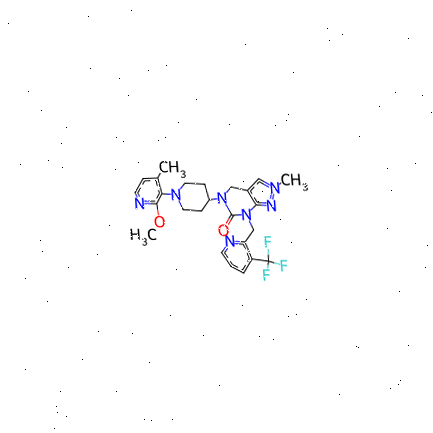 COc1nccc(C)c1N1CCC(N2Cc3cn(C)nc3N(Cc3ncccc3C(F)(F)F)C2=O)CC1